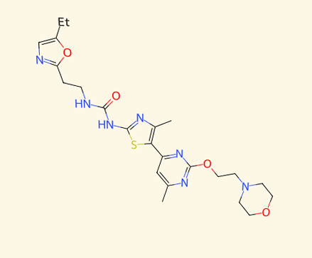 CCc1cnc(CCNC(=O)Nc2nc(C)c(-c3cc(C)nc(OCCN4CCOCC4)n3)s2)o1